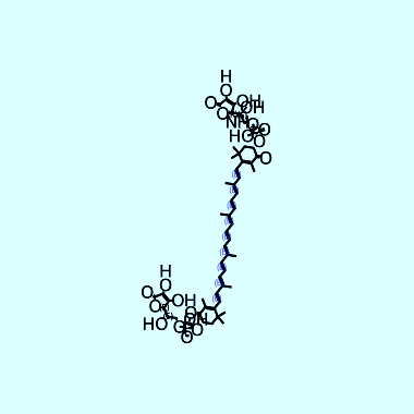 CC1=C(/C=C/C(C)=C/C=C/C(C)=C/C=C/C=C(C)/C=C/C=C(C)/C=C/C2=C(C)C(=O)C(OP(=O)(O)OC[C@H](O)[C@@]3(N)OC(=O)C(O)=C3O)CC2(C)C)C(C)(C)CC(OP(=O)(O)OC[C@H](O)[C@H]2OC(=O)C(O)=C2O)C1=O